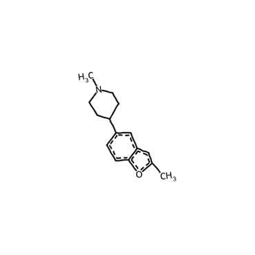 Cc1cc2cc(C3CCN(C)CC3)ccc2o1